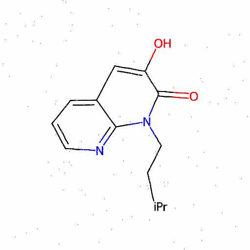 CC(C)CCn1c(=O)c(O)cc2cccnc21